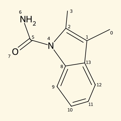 Cc1c(C)n(C(N)=O)c2ccccc12